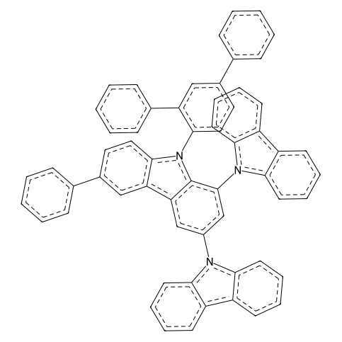 c1ccc(-c2ccc(-n3c4ccc(-c5ccccc5)cc4c4cc(-n5c6ccccc6c6ccccc65)cc(-n5c6ccccc6c6ccccc65)c43)c(-c3ccccc3)c2)cc1